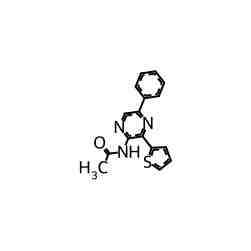 CC(=O)Nc1ncc(-c2ccccc2)nc1-c1cccs1